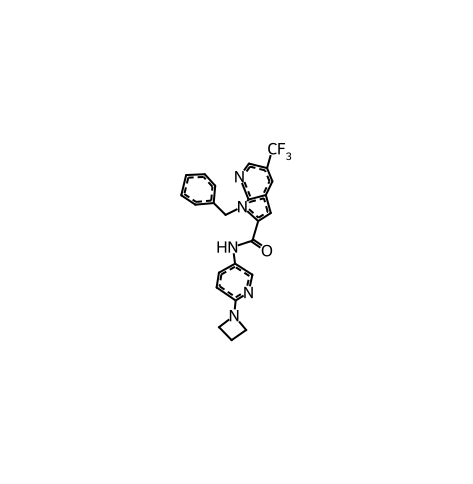 O=C(Nc1ccc(N2CCC2)nc1)c1cc2cc(C(F)(F)F)cnc2n1Cc1ccccc1